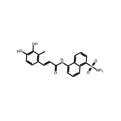 Cc1c(/C=C/C(=O)Nc2cccc3c(S(N)(=O)=O)cccc23)ccc(O)c1O